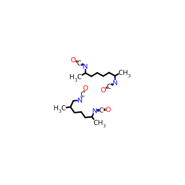 CC(CCCC(C)N=C=O)CN=C=O.CC(CCCCC(C)N=C=O)N=C=O